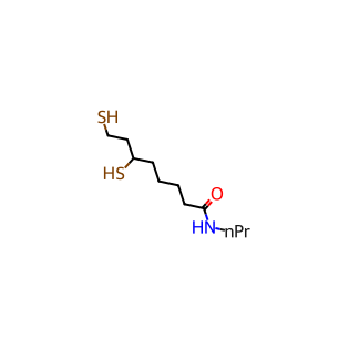 CCCNC(=O)CCCCC(S)CCS